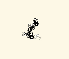 CCOc1ccccc1NC(=O)CN1CCC(N(C(C)C)S(=O)(=O)c2cccc(C(F)(F)F)c2)CC1